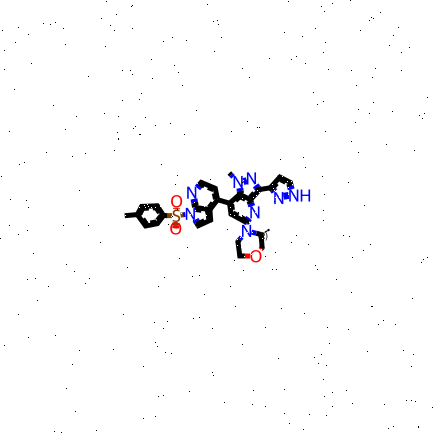 Cc1ccc(S(=O)(=O)n2ccc3c(-c4cc(N5CCOC[C@H]5C)nc5c(-c6cc[nH]n6)nn(C)c45)ccnc32)cc1